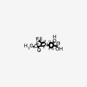 CCOC(=O)C1CN(c2ccc(C(=O)O)c(O)c2)C=C1C(F)(F)F